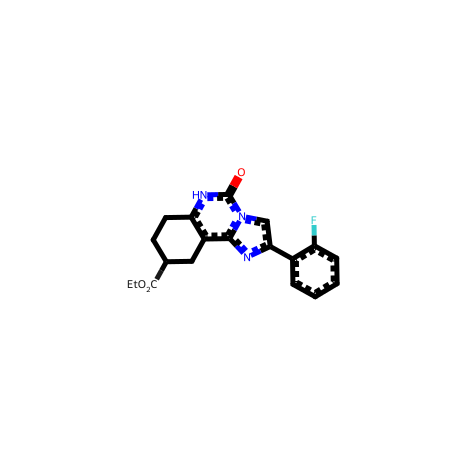 CCOC(=O)C1CCc2[nH]c(=O)n3cc(-c4ccccc4F)nc3c2C1